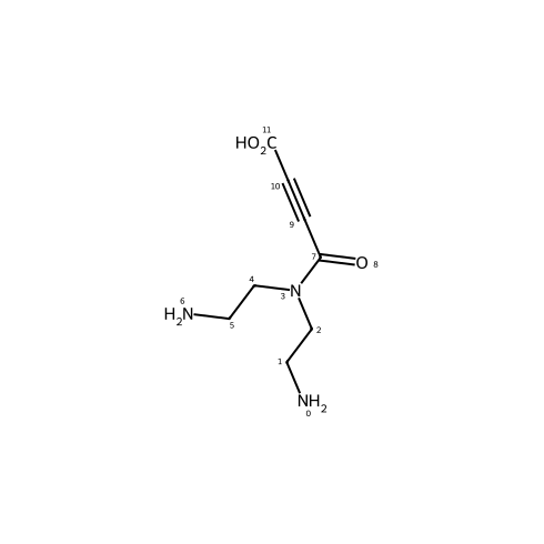 NCCN(CCN)C(=O)C#CC(=O)O